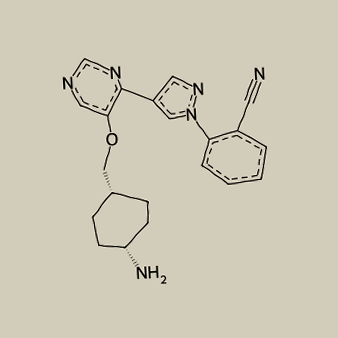 N#Cc1ccccc1-n1cc(-c2ncncc2OC[C@H]2CC[C@@H](N)CC2)cn1